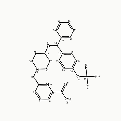 O=C(O)c1cccc(CN2CCC(OC(c3ccccc3)c3ccc(OC(F)(F)F)cc3)CC2)n1